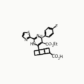 CCOC(=O)C1=C(C23C4C5C2C2C3C4C52C(=O)O)NC(c2nccs2)=N[C@H]1c1ccc(F)cc1